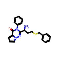 NC(CCSCc1ccccc1)c1nn2cccc2c(=O)n1-c1ccccc1